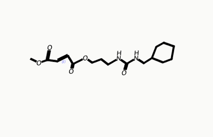 COC(=O)/C=C/C(=O)OCCCNC(=O)NCC1CCCCC1